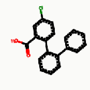 O=C(O)c1cc(Cl)ccc1-c1ccccc1-c1ccccc1